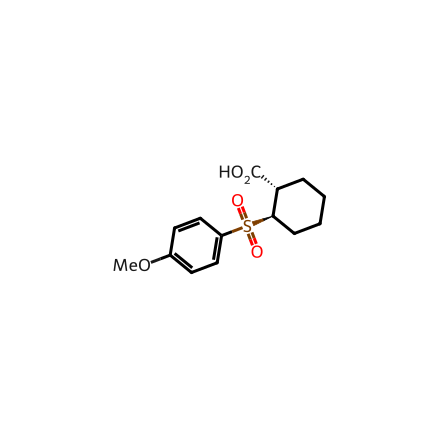 COc1ccc(S(=O)(=O)[C@@H]2CCCC[C@H]2C(=O)O)cc1